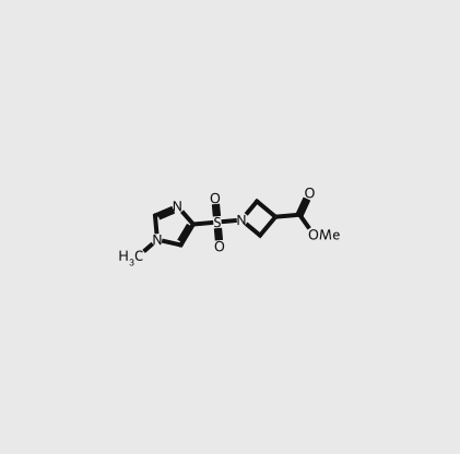 COC(=O)C1CN(S(=O)(=O)c2cn(C)cn2)C1